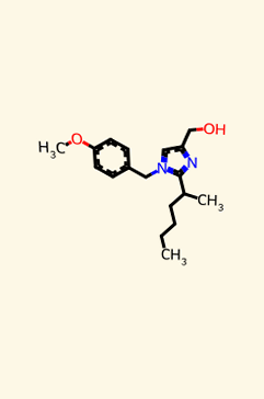 CCCCC(C)c1nc(CO)cn1Cc1ccc(OC)cc1